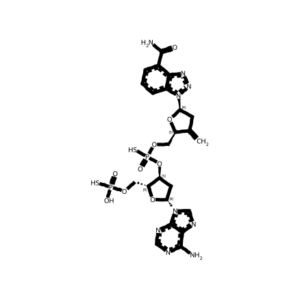 C=C1C[C@H](n2nnc3c(C(N)=O)cccc32)O[C@@H]1COP(=O)(S)O[C@H]1C[C@H](n2cnc3c(N)ncnc32)O[C@@H]1COP(=O)(O)S